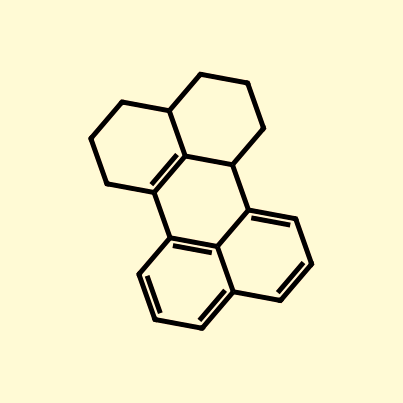 c1cc2c3c(cccc3c1)C1CCCC3CCCC2=C31